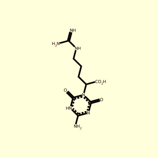 N=C(N)NCCCC(C(=O)O)n1c(=O)nc(N)[nH]c1=O